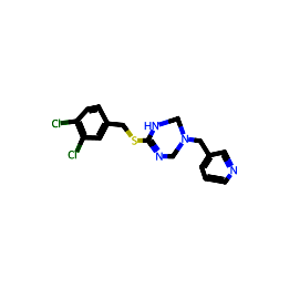 Clc1ccc(CSC2=NCN(Cc3cccnc3)CN2)cc1Cl